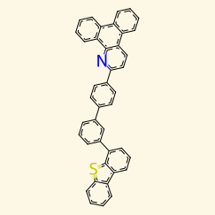 c1cc(-c2ccc(-c3ccc4c5ccccc5c5ccccc5c4n3)cc2)cc(-c2cccc3c2sc2ccccc23)c1